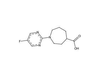 O=C(O)C1CCCN(c2ncc(F)cn2)CC1